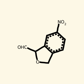 O=CC1OCc2ccc([N+](=O)[O-])cc21